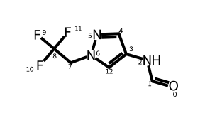 O=CNc1cnn(CC(F)(F)F)c1